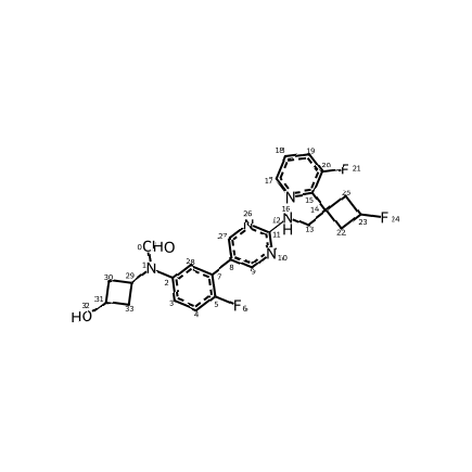 O=CN(c1ccc(F)c(-c2cnc(NCC3(c4ncccc4F)CC(F)C3)nc2)c1)C1CC(O)C1